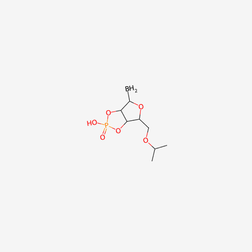 BC1OC(COC(C)C)C2OP(=O)(O)OC12